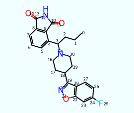 CCCC(c1cccc2c1C(=O)NC2=O)N1CCC(c2noc3cc(F)ccc23)CC1